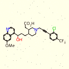 COc1ccc2nccc([C@H](O)CC[C@@H]3CCN(CC#Cc4ccc(C(F)(F)F)cc4Cl)C[C@@H]3CC(=O)O)c2c1